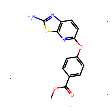 COC(=O)c1ccc(Oc2ccc3nc(N)sc3n2)cc1